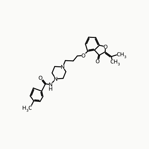 CC(C)=C1Oc2cccc(OCCCN3CCN(NC(=O)c4ccc(C)cc4)CC3)c2C1=O